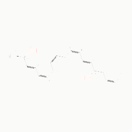 CC/C=C\C[C@@H](O)/C=C/C=C\C/C=C\C/C=C\C=C\[C@H](O)CCC